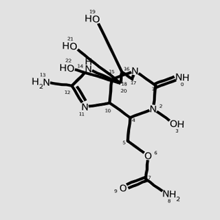 N=C1N(O)C(COC(N)=O)C2N=C(N)NC23N1CC(O)C3(O)O